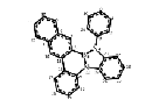 c1ccc(N2B3c4cc5ccccc5cc4-c4ccccc4N3c3ccccc32)cc1